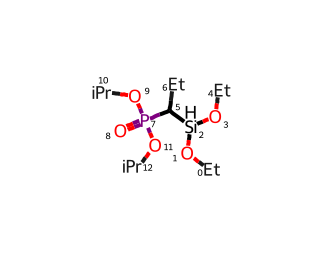 CCO[SiH](OCC)C(CC)P(=O)(OC(C)C)OC(C)C